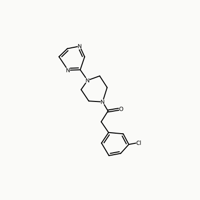 O=C(Cc1cccc(Cl)c1)N1CCN(c2cnccn2)CC1